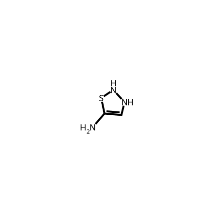 NC1=CNNS1